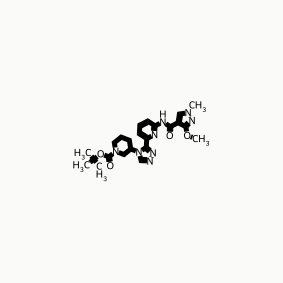 COc1nn(C)cc1C(=O)Nc1cccc(-c2nncn2C2CCCN(C(=O)OC(C)(C)C)C2)n1